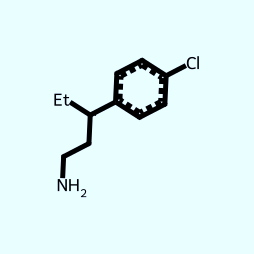 CC[C](CCN)c1ccc(Cl)cc1